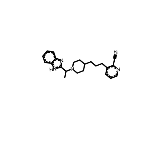 CC(c1nc2ccccc2[nH]1)N1CCC(CCCc2cccnc2C#N)CC1